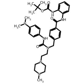 CN1CCN(CCN(Cc2ccc(C(=O)Nc3ccccc3NC(=O)OC(C)(C)C)cc2)C(=O)Nc2ccc(N(C)C)cc2)CC1